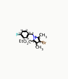 CCOC(=O)c1c(C)c(Br)c(C)n1Cc1ccc(F)cc1